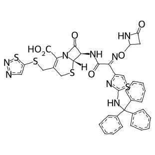 O=C1CC(ON=C(C(=O)N[C@@H]2C(=O)N3C(C(=O)O)=C(CSc4cnns4)CS[C@@H]23)c2csc(NC(c3ccccc3)(c3ccccc3)c3ccccc3)n2)N1